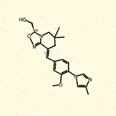 COc1cc(/C=C2\CC(C)(C)CN3C2=NO[C@H]3CO)ccc1-n1cnc(C)c1